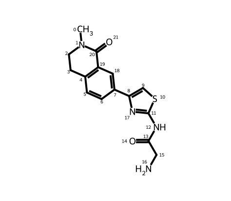 CN1CCc2ccc(-c3csc(NC(=O)CN)n3)cc2C1=O